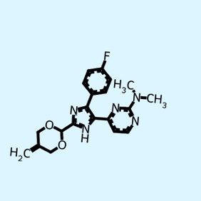 C=C1COC(c2nc(-c3ccc(F)cc3)c(-c3ccnc(N(C)C)n3)[nH]2)OC1